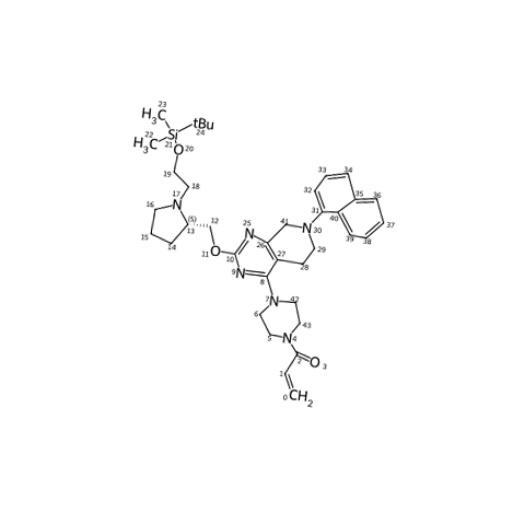 C=CC(=O)N1CCN(c2nc(OC[C@@H]3CCCN3CCO[Si](C)(C)C(C)(C)C)nc3c2CCN(c2cccc4ccccc24)C3)CC1